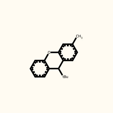 Cc1ccc2c(c1)Oc1ccccc1C2C(C)(C)C